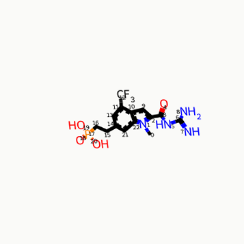 Cn1c(C(=O)NC(=N)N)cc2c(C(F)(F)F)cc(CCP(=O)(O)O)cc21